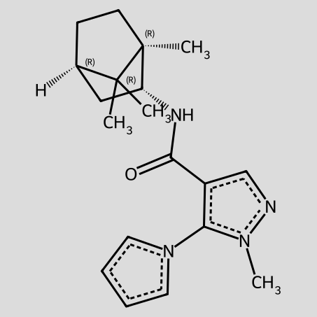 Cn1ncc(C(=O)N[C@@H]2C[C@H]3CC[C@]2(C)C3(C)C)c1-n1cccc1